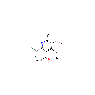 COC(=O)c1c(C(F)F)nc(C(F)(F)F)c(CS)c1CC(C)C